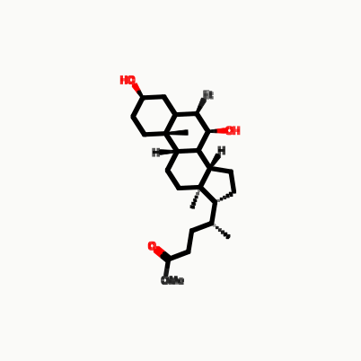 CC[C@@H]1C2C[C@H](O)CC[C@@]2(C)[C@H]2CC[C@]3(C)[C@@H]([C@H](C)CCC(=O)OC)CC[C@H]3C2[C@@H]1O